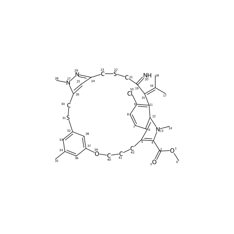 COC(=O)c1c2c3ccc(Cl)c(c3n1C)C(=C(C)C)C(=N)CSCc1cc(n(C)n1)CSc1cc(C)cc(c1)OCCC2